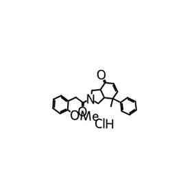 COc1ccccc1CC(=O)N1CC2C(=O)C=CC(C)(c3ccccc3)C2C1.Cl